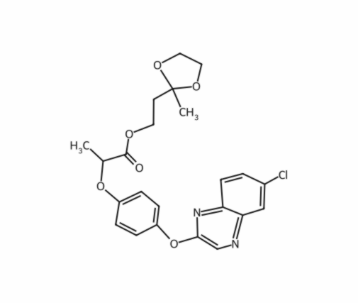 CC(Oc1ccc(Oc2cnc3cc(Cl)ccc3n2)cc1)C(=O)OCCC1(C)OCCO1